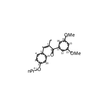 CCCOc1ccc(C=C(C)C(=O)c2cc(OC)cc(OC)c2)cc1